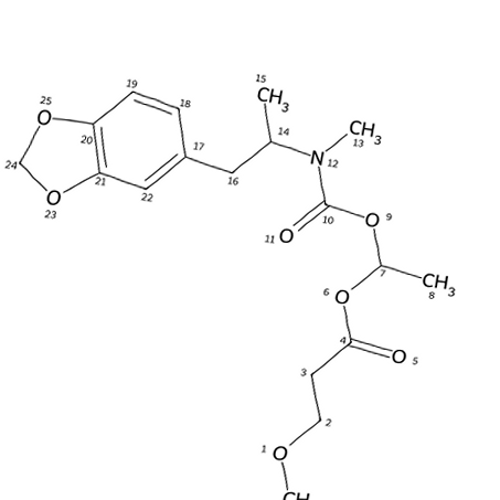 COCCC(=O)OC(C)OC(=O)N(C)C(C)Cc1ccc2c(c1)OCO2